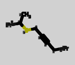 CC(C)CC#CCSC(C)C(C)C